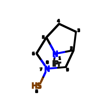 CC(C)N1C2CCC1CN(S)C2